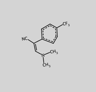 CN(C)/C=C(/C#N)c1ccc(C(F)(F)F)cc1